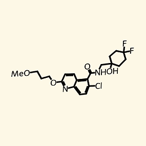 COCCCOc1ccc2c(C(=O)NCC3(O)CCC(F)(F)CC3)c(Cl)ccc2n1